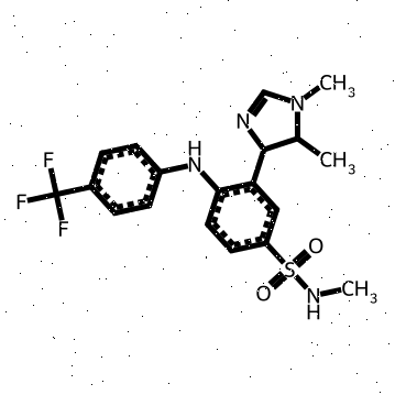 CNS(=O)(=O)c1ccc(Nc2ccc(C(F)(F)F)cc2)c(C2N=CN(C)C2C)c1